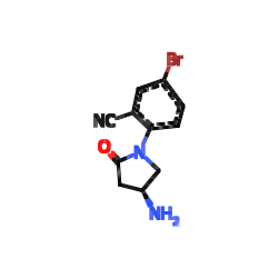 N#Cc1cc(Br)ccc1N1C[C@@H](N)CC1=O